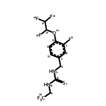 Fc1cc(CNC(=S)NCC(F)(F)F)ccc1OC(F)C(F)F